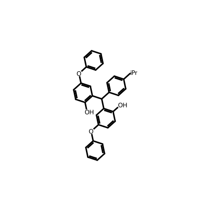 CC(C)c1ccc(C(c2cc(Oc3ccccc3)ccc2O)c2cc(Oc3ccccc3)ccc2O)cc1